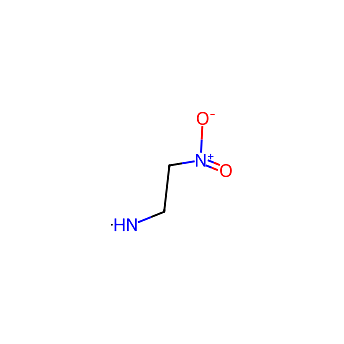 [NH]CC[N+](=O)[O-]